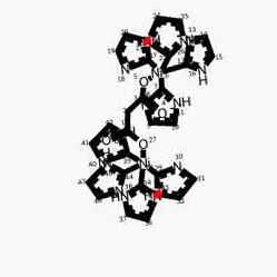 O=C(CC(=O)[O][Ni]([c]1ncc[nH]1)([c]1ncc[nH]1)([c]1ncc[nH]1)[c]1ncc[nH]1)[O][Ni]([c]1ncc[nH]1)([c]1ncc[nH]1)([c]1ncc[nH]1)[c]1ncc[nH]1